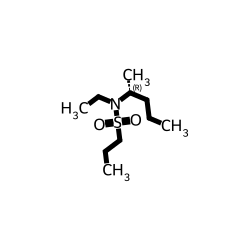 CCC[C@@H](C)N(CC)S(=O)(=O)CCC